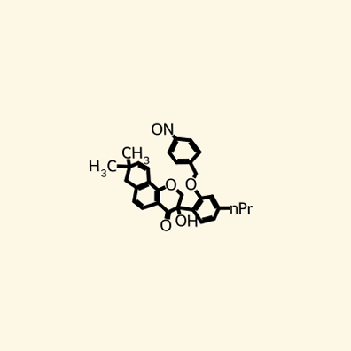 CCCc1ccc(C2(O)COc3c(ccc4c3C=CC(C)(C)C4)C2=O)c(OCc2ccc(N=O)cc2)c1